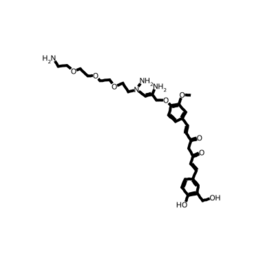 COc1cc(/C=C/C(=O)CC(=O)/C=C/c2ccc(O)c(CO)c2)ccc1OC/C(N)=C/N(N)CCOCCOCCOCCN